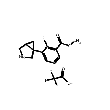 COC(=O)c1cccc(C23CNCC2C3)c1F.O=C(O)C(F)(F)F